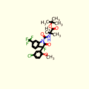 COc1ccc(Cl)cc1[C@]1(F)C(=O)N(C(=O)NC(C)(C)C(=O)OC(C)(C)C)c2cc(C(F)(F)F)ccc21